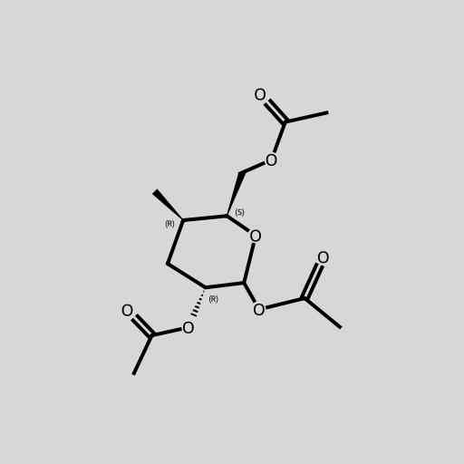 CC(=O)OC[C@H]1OC(OC(C)=O)[C@H](OC(C)=O)C[C@H]1C